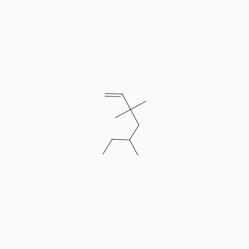 C=CC(C)(C)CC(C)CC